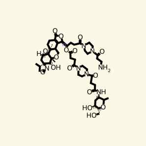 CC1O[C@H](CO)[C@@H](O)C[C@H]1NC(=O)CCC(=O)N1CCN(C(=O)CCC(=O)O/C(CCC(=O)N2CCN(C(=O)CCN)CC2)=C2/OC(=O)C3=C2C2CO[C@]4(C)[C@H](O)[C@](N=O)(C(C)C)C[C@@H]5O[C@@]54[C@@]2(C)CC3)CC1